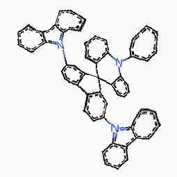 c1ccc(N2c3ccccc3C3(c4cc(-n5c6ccccc6c6ccccc65)ccc4-c4ccc(-n5c6ccccc6c6ccccc65)cc43)c3ccccc32)cc1